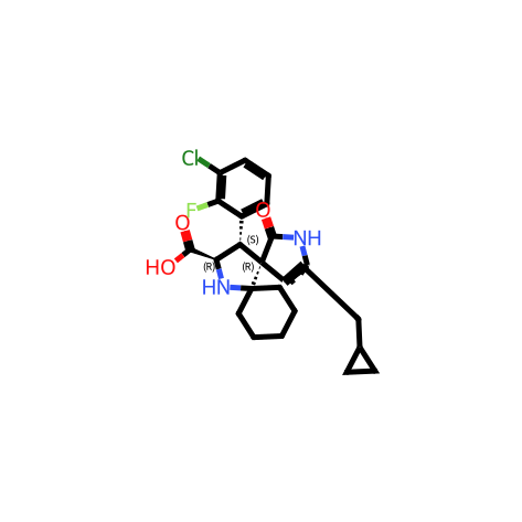 O=C(O)[C@@H]1NC2(CCCCC2)[C@@]2(C(=O)Nc3cc(CC4CC4)ccc32)[C@H]1c1cccc(Cl)c1F